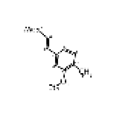 CCOc1cc(C=CSC)ccc1C